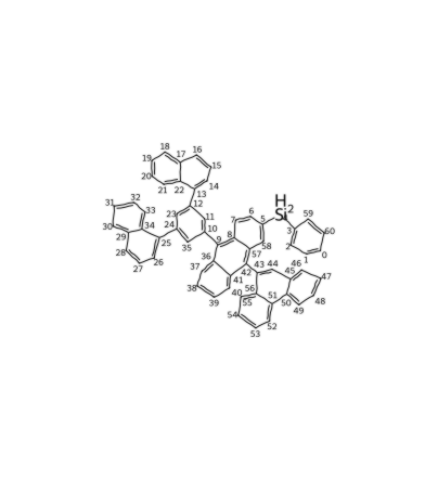 c1ccc([SiH2]c2ccc3c(-c4cc(-c5cccc6ccccc56)cc(-c5cccc6ccccc56)c4)c4ccccc4c(-c4cc5ccccc5c5ccccc45)c3c2)cc1